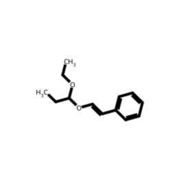 CCOC(CC)OC=Cc1ccccc1